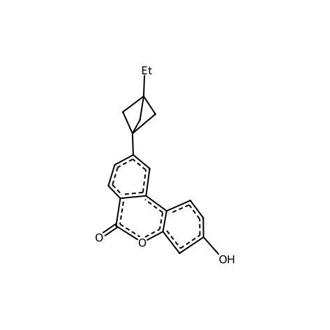 CCC12CC(c3ccc4c(=O)oc5cc(O)ccc5c4c3)(C1)C2